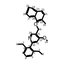 CCc1cccc(CC)c1-c1cc(OC)c(COc2c(C)ccc3ccccc23)cn1